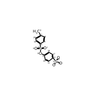 Cc1ccc(S(=O)(=O)Oc2ccc(S([O])(=O)=O)cc2)cc1